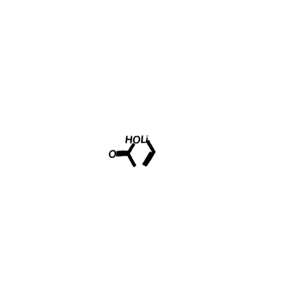 CC(=O)O.[Li][CH]=C